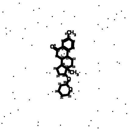 Cc1ccc2c(c1)C(=O)CC1C2CCC2(C)C(OC3CCCCO3)CCC12